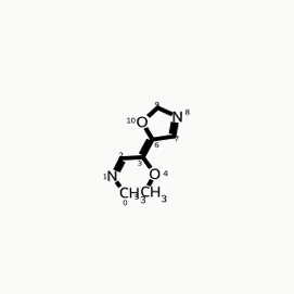 C/N=C\C(OC)=C1\C=NCO1